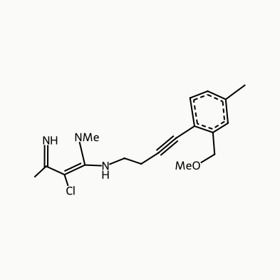 CN/C(NCCC#Cc1ccc(C)cc1COC)=C(/Cl)C(C)=N